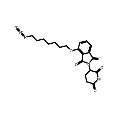 [N-]=[N+]=NCCCCCCCOc1cccc2c1C(=O)N(C1CCC(=O)NC1=O)C2=O